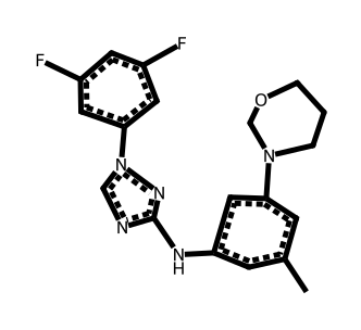 Cc1cc(Nc2ncn(-c3cc(F)cc(F)c3)n2)cc(N2CCCOC2)c1